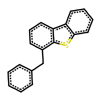 c1ccc(Cc2cccc3c2sc2ccccc23)cc1